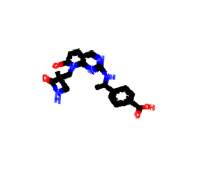 CC(Nc1ncc2ccc(=O)n(CC3(C)CNC3=O)c2n1)c1ccc(C(=O)O)cc1